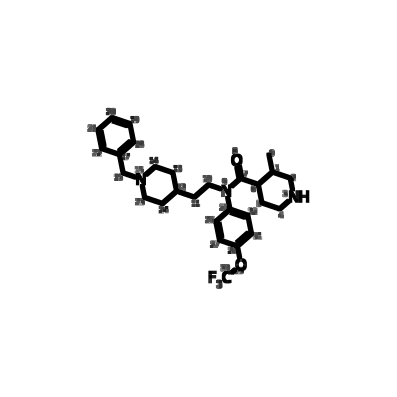 CC1CNCCC1C(=O)N(CCC1CCN(Cc2ccccc2)CC1)c1ccc(OC(F)(F)F)cc1